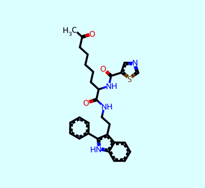 CC(=O)CCCCCC(NC(=O)c1cncs1)C(=O)NCCc1c(-c2ccccc2)[nH]c2ccccc12